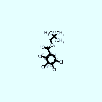 CC(C)(C)COC(=O)c1cc(Cl)c(Cl)c(Cl)c1Cl